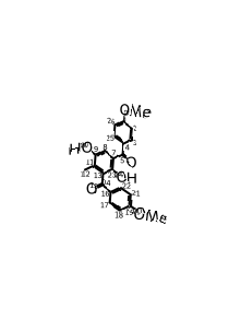 COc1ccc(C(=O)c2cc(O)c(C)c(C(=O)c3ccc(OC)cc3)c2O)cc1